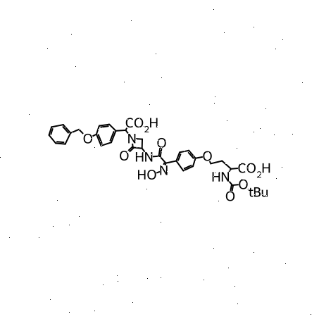 CC(C)(C)OC(=O)NC(CCOc1ccc(C(=NO)C(=O)NC2CN(C(C(=O)O)c3ccc(OCc4ccccc4)cc3)C2=O)cc1)C(=O)O